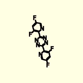 Fc1cnc(-c2nnc(-c3ncc(F)cc3F)nn2)c(F)c1